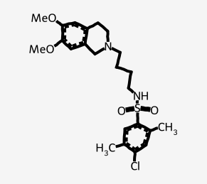 COc1cc2c(cc1OC)CN(CCCCNS(=O)(=O)c1cc(C)c(Cl)cc1C)CC2